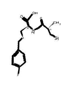 C[C@H](CS)C(=O)N[C@@H](CSCc1ccc(F)cc1)C(=O)O